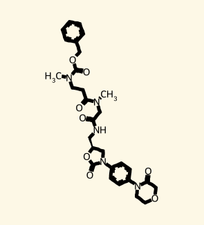 CN(CC(=O)NC[C@H]1CN(c2ccc(N3CCOCC3=O)cc2)C(=O)O1)C(=O)CCN(C)C(=O)OCc1ccccc1